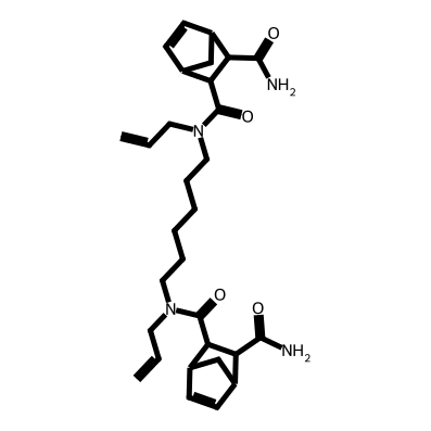 C=CCN(CCCCCCN(CC=C)C(=O)C1C2C=CC(C2)C1C(N)=O)C(=O)C1C2C=CC(C2)C1C(N)=O